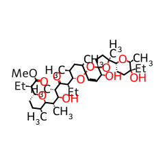 CC[C@@H](C(=O)[C@@H](C)[C@@H](O)[C@H](C)[C@@H]1O[C@@H]([C@@H](CC)C(=O)OC)CC[C@@H]1C)[C@H]1O[C@@]2(C=C[C@H](O)[C@]3(CC[C@@](C)([C@H]4CC[C@](O)(CC)[C@H](C)O4)O3)O2)[C@H](C)C[C@@H]1C